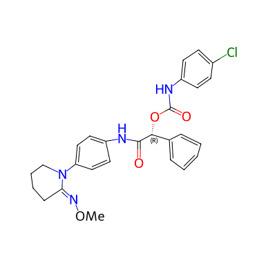 CON=C1CCCCN1c1ccc(NC(=O)[C@H](OC(=O)Nc2ccc(Cl)cc2)c2ccccc2)cc1